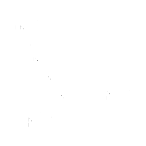 CC1(C)Oc2ccc(Nc3nc(Nc4ccccc4S(N)(=O)=O)cc4cc[nH]c(=O)c34)cc2NC1=O